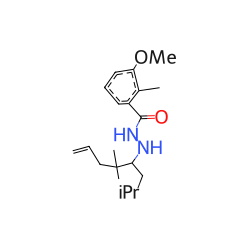 C=CCC(C)(C)C(CC(C)C)NNC(=O)c1cccc(OC)c1C